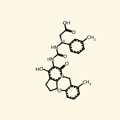 Cc1cccc([C@H](CC(=O)O)NC(=O)Nc2c(O)c3c(n(Cc4c(C)cccc4Cl)c2=O)CCC3)c1